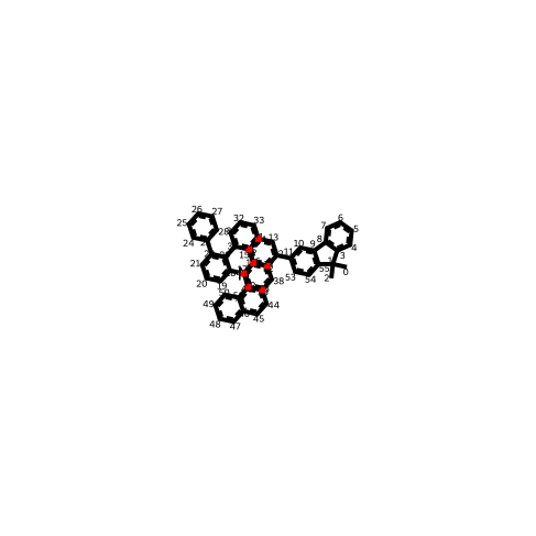 CC1(C)c2ccccc2-c2cc(-c3cccc(N(c4cccc(-c5ccccc5)c4-c4ccccc4-c4ccccc4)c4cccc5ccccc45)c3)ccc21